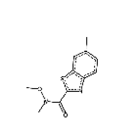 CON(C)C(=O)c1nc2ccc(C)cc2s1